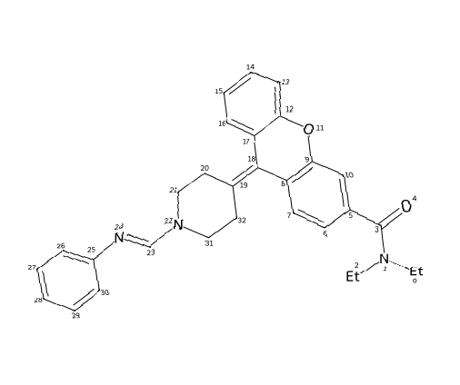 CCN(CC)C(=O)c1ccc2c(c1)Oc1ccccc1C2=C1CCN(/C=N/c2ccccc2)CC1